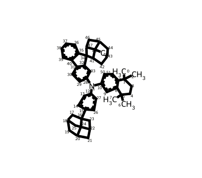 CC1(C)CCC(C)(C)c2cc(N(c3ccc(C45CC6CC7CC(C4)C75C6)cc3)c3ccc4c(c3)C3(c5ccccc5-4)C4CC5CC6CC3C64C5)ccc21